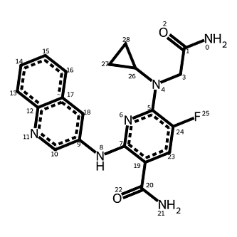 NC(=O)CN(c1nc(Nc2cnc3ccccc3c2)c(C(N)=O)cc1F)C1CC1